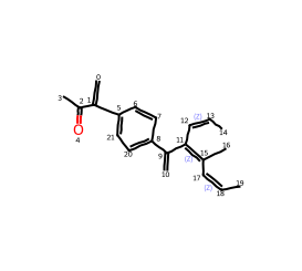 C=C(C(C)=O)c1ccc(C(=C)C(/C=C\C)=C(C)\C=C/C)cc1